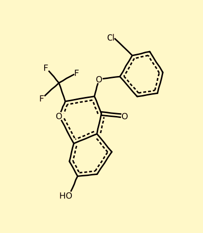 O=c1c(Oc2ccccc2Cl)c(C(F)(F)F)oc2cc(O)ccc12